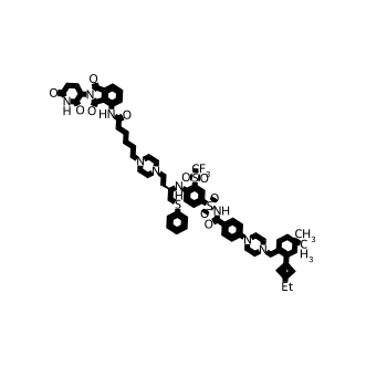 CCC12CC(C3=C(CN4CCN(c5ccc(C(=O)NS(=O)(=O)c6ccc(N[C@H](CCN7CCN(CCCCCC(=O)Nc8cccc9c8C(=O)N(C8CCC(=O)NC8=O)C9=O)CC7)CSc7ccccc7)c(S(=O)(=O)C(F)(F)F)c6)cc5)CC4)CCC(C)(C)C3)(C1)C2